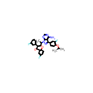 CC(C)Oc1ccc(-c2nn(C(C)c3oc4ccc(F)cc4c(=O)c3-c3cccc(F)c3)c3ncnc(N)c23)cc1F